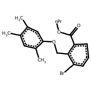 CCCOC(=O)c1cccc(Br)c1COc1cc(C)c(C)cc1C